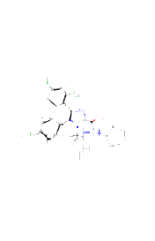 CC(C)(C)n1c(C(=O)NC2CCCCC2)nc(-c2ccc(Cl)cc2Cl)c1-c1ccc(Cl)cc1